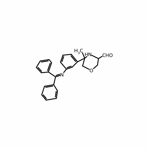 CC1(c2cccc(N=C(c3ccccc3)c3ccccc3)c2)COCC(C=O)N1